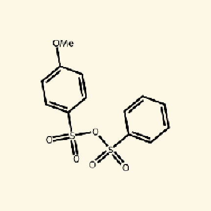 COc1ccc(S(=O)(=O)OS(=O)(=O)c2ccccc2)cc1